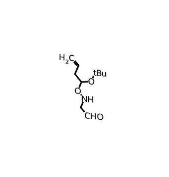 C=CCC(ONCC=O)OC(C)(C)C